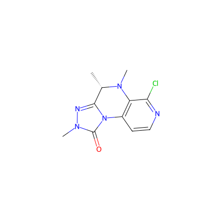 C[C@H]1c2nn(C)c(=O)n2-c2ccnc(Cl)c2N1C